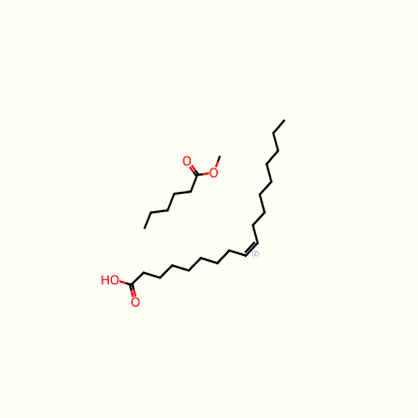 CCCCCC(=O)OC.CCCCCCCC/C=C\CCCCCCCC(=O)O